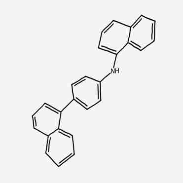 c1ccc2c(Nc3ccc(-c4cccc5ccccc45)cc3)cccc2c1